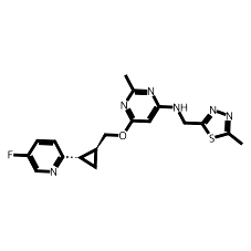 Cc1nc(NCc2nnc(C)s2)cc(OC[C@H]2C[C@@H]2c2ccc(F)cn2)n1